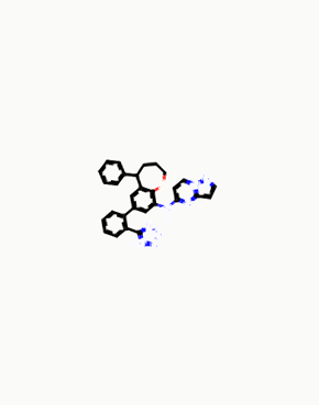 c1ccc(C2CCCOc3c(Nc4ccn5nccc5n4)cc(-c4ccccc4-c4nnn[nH]4)cc32)cc1